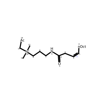 CCCCCCCC/C=C\CC(=O)NCCC[N+](C)(C)CC(C)=O